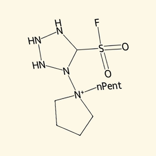 CCCCC[N+]1(N2NNNC2S(=O)(=O)F)CCCC1